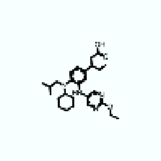 CCOc1ncc(Nc2cc(C(CC)CC(=O)O)ccc2N(CC(C)C)C2CCCCC2)cn1